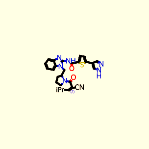 CC(C)/C=C(/C#N)C(=O)N1CCCC1Cn1c(NC(=O)c2ccc(-c3cn[nH]c3)s2)nc2ccccc21